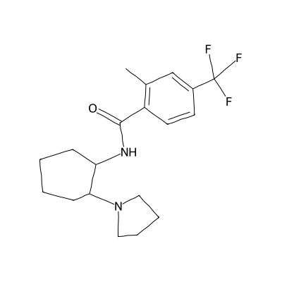 Cc1cc(C(F)(F)F)ccc1C(=O)NC1CCCCC1N1CCCC1